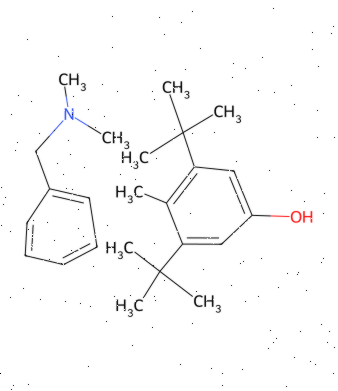 CN(C)Cc1ccccc1.Cc1c(C(C)(C)C)cc(O)cc1C(C)(C)C